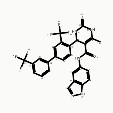 CC1=C(C(=O)Nc2ccc3[nH]ncc3c2)C(c2ccc(-c3cccc(C(F)(F)F)c3)cc2C(F)(F)F)NC(=O)N1